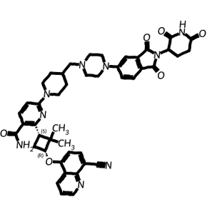 CC1(C)[C@@H](c2nc(N3CCC(CN4CCN(c5ccc6c(c5)C(=O)N(C5CCC(=O)NC5=O)C6=O)CC4)CC3)ccc2C(N)=O)C[C@H]1Oc1ccc(C#N)c2ncccc12